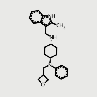 Cc1[nH]c2ccccc2c1CN[C@H]1CC[C@H](N(CC2COC2)c2ccccc2)CC1